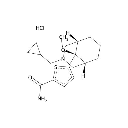 CO[C@]1(c2ccc(C(N)=O)s2)[C@@H]2CCC[C@H]1CN(CC1CC1)C2.Cl